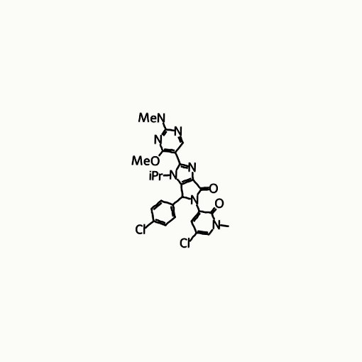 CNc1ncc(-c2nc3c(n2C(C)C)C(c2ccc(Cl)cc2)N(c2cc(Cl)cn(C)c2=O)C3=O)c(OC)n1